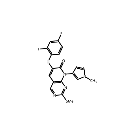 CSc1ncc2cc(Oc3ccc(F)cc3F)c(=O)n(-c3cnn(C)c3)c2n1